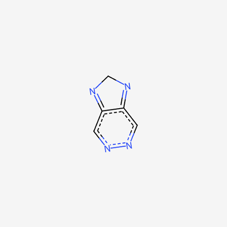 c1nncc2c1=NCN=2